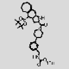 CC(C)(C)OC(=O)NCc1cccc(C2CCN(C(=O)C3CC4C(CC5=C(CCCCC5)C4B4OC(C)(C)C(C)(C)O4)N3)CC2)c1